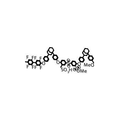 COCc1ccc(C23CCCC(CC(c4ccc(Oc5ccc(S(=O)(=O)c6ccc(Oc7ccc(C89CCCC(CC(c%10ccc(Oc%11c(F)c(F)c(-c%12c(F)c(F)c(C)c(F)c%12F)c(F)c%11F)cc%10)C8)C9)cc7)c(CS(=O)(=O)O)c6)cc5S(=O)(=O)OC)cc4)C2)C3)cc1